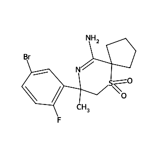 CC1(c2cc(Br)ccc2F)CS(=O)(=O)C2(CCCC2)C(N)=N1